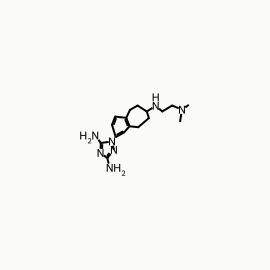 CN(C)CCNC1CCc2ccc(-n3nc(N)nc3N)cc2CC1